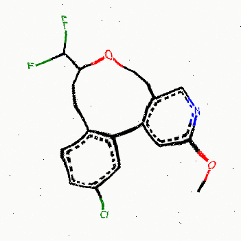 COc1cc2c(cn1)COC(C(F)F)Cc1ccc(Cl)cc1-2